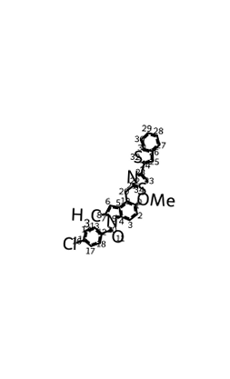 COc1ccc2c(cc(C)n2C(=O)c2ccc(Cl)cc2)c1Cc1nc(-c2cc3ccccc3s2)cs1